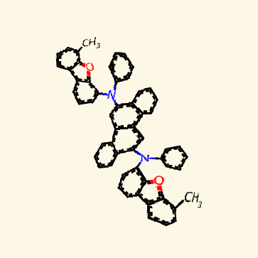 Cc1cccc2c1oc1c(N(c3ccccc3)c3cc4c5ccccc5c(N(c5ccccc5)c5cccc6c5oc5c(C)cccc56)cc4c4ccccc34)cccc12